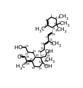 CC1=CC[C@H](C)C(C)(C)[C@@H]1/C=C/C(C)=C/CC[C@@]1(CO)[C@H](CCCO)/C(=C(/C)C=O)CC[C@]1(C)O